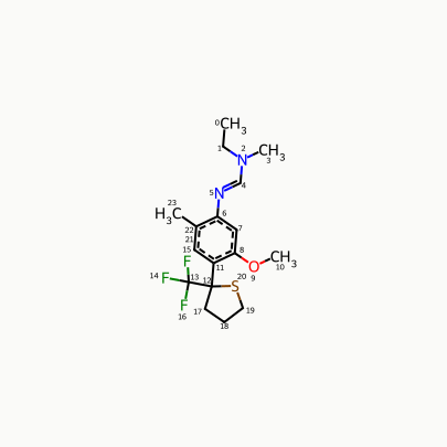 CCN(C)/C=N/c1cc(OC)c(C2(C(F)(F)F)CCCS2)cc1C